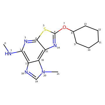 CNc1nc2sc(OC3CCCCC3)nc2c2c1ncn2C